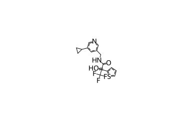 O=C(NCc1cncc(C2CC2)c1)[C@](O)(c1cccs1)C(F)(F)F